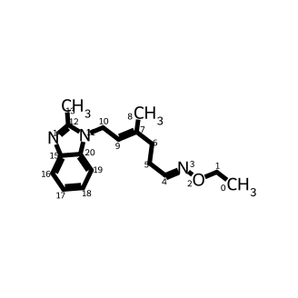 CCO/N=C/CC/C(C)=C/Cn1c(C)nc2ccccc21